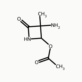 CC(=O)OC1NC(=O)C1(C)N